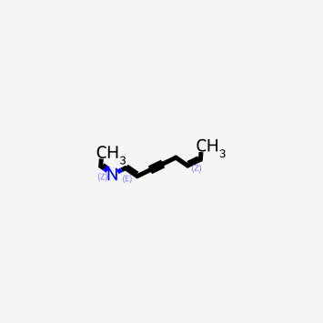 C/C=C\CC#C/C=C/N=C\C